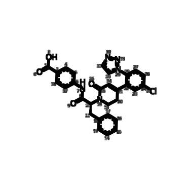 O=C(O)c1ccc(NC(=O)[C@H](Cc2ccccc2)N2CCC(c3cc(Cl)ccc3-n3ccnn3)=CC2=O)cc1